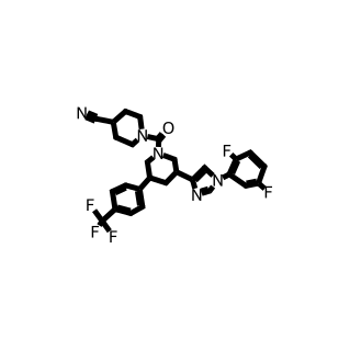 N#CC1CCN(C(=O)N2CC(c3ccc(C(F)(F)F)cc3)CC(c3cn(-c4cc(F)ccc4F)cn3)C2)CC1